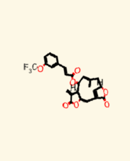 C=C1C(=O)OC2CC3=C[C@@H](C/C(C)=C/C(OC(=O)/C=C/c4cccc(OC(F)(F)F)c4)[C@H]12)OC3=O